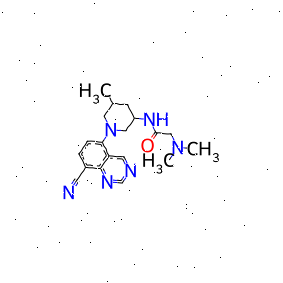 CC1CC(NC(=O)CN(C)C)CN(c2ccc(C#N)c3ncncc23)C1